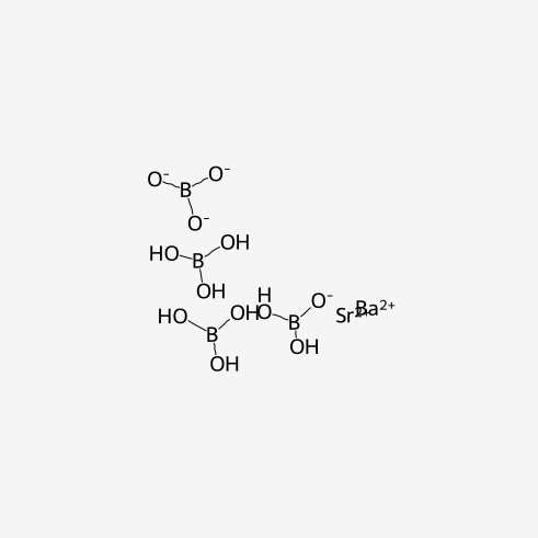 OB(O)O.OB(O)O.[Ba+2].[O-]B(O)O.[O-]B([O-])[O-].[Sr+2]